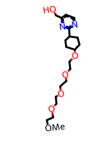 COCCOCCOCCOCCOC1CCC(c2nccc(CO)n2)CC1